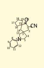 N#CC1CC2(CCN(c3ccccc3)C2)CC2(CCCC2)C1=O